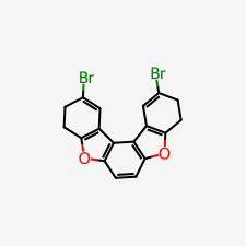 BrC1=Cc2c(oc3ccc4oc5c(c4c23)C=C(Br)CC5)CC1